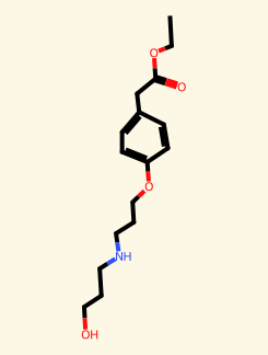 CCOC(=O)Cc1ccc(OCCCNCCCO)cc1